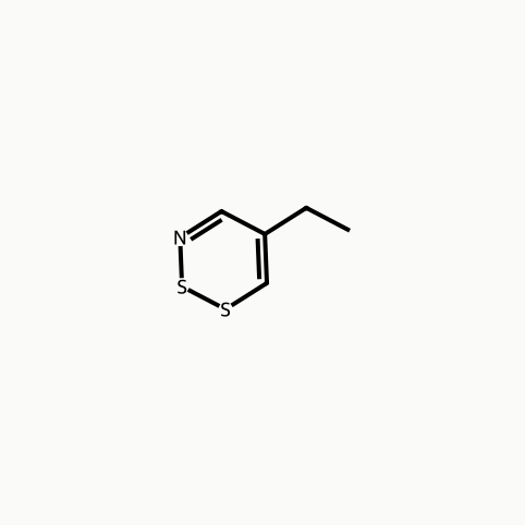 CCC1=CSSN=C1